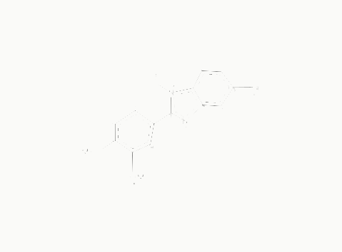 COc1ccc(-c2nc3cc(Br)ccc3n2C)cc1OC